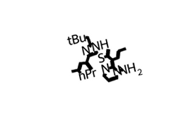 C=C(Sc1[nH]c(CC(C)(C)C)nc1C(=C)/C=C(/C)CCC)C(/C=C/C)=C1\N=CC=CN1N